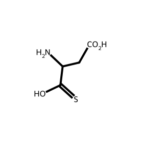 NC(CC(=O)O)C(O)=S